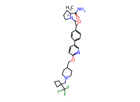 C[C@@]1(C(N)=O)CCCN1C1OC1c1ccc(-c2ccc(OCC3CCN(CC4(C(F)(F)F)CCC4)CC3)nc2)cc1